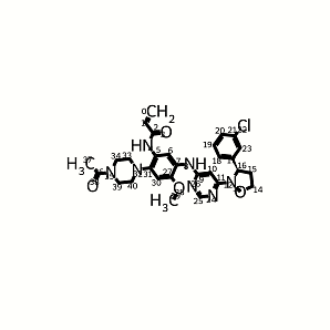 C=CC(=O)Nc1cc(Nc2cc(N3OCC[C@@H]3c3cccc(Cl)c3)ncn2)c(OC)cc1N1CCN(C(C)=O)CC1